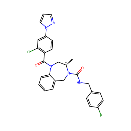 C[C@@H]1CN(C(=O)c2ccc(-n3cccn3)cc2Cl)c2ccccc2CN1C(=O)NCc1ccc(F)cc1